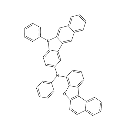 c1ccc(N(c2ccc3c(c2)c2cc4ccccc4cc2n3-c2ccccc2)c2cccc3c2oc2ccc4ccccc4c23)cc1